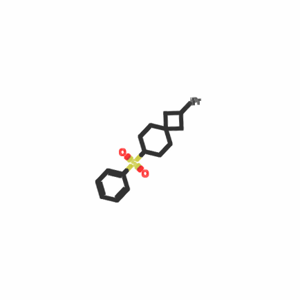 CC(C)C1CC2(CCC(S(=O)(=O)c3ccccc3)CC2)C1